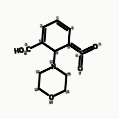 O=C(O)C1=CC=CC(=S(=O)=O)C1N1CCOCC1